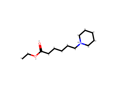 CCOC(=O)CCCCCN1CCCCC1